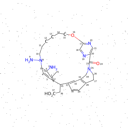 Cc1c2ccc(c1N)N(N)CCCCCCOc1cnc(cn1)C(=O)N1CCc3ccc(cc3C1)C2CC(=O)O